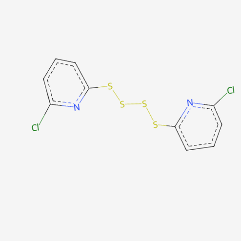 Clc1cccc(SSSSc2cccc(Cl)n2)n1